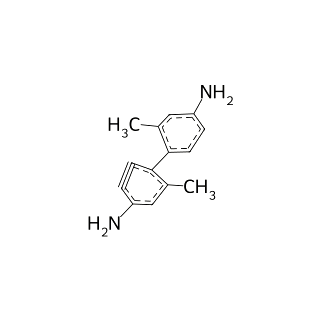 Cc1cc(N)c#cc1-c1ccc(N)cc1C